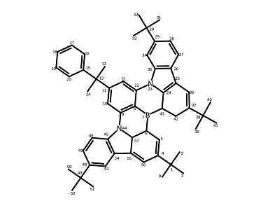 CC(C)(C)C1=CC2B3c4c(cc(C(C)(C)c5ccccc5)cc4-n4c5c(c6ccc(C(C)(C)C)cc64)C=C(C(C)(C)C)CC35)N3c4ccc(C(C)(C)C)cc4C(=C1)C23